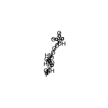 COc1ccc(C(OCC(O)COCCOCCOCCNC(=O)Cn2cc3c(nc2=O)Nc2c(OCCNC(=O)C(F)(F)F)cccc2O3)(c2ccccc2)c2ccc(OC)cc2)cc1